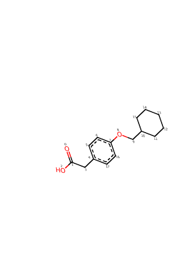 O=C(O)Cc1ccc(OCC2CCCCC2)cc1